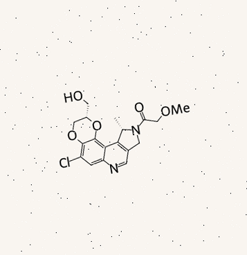 COCC(=O)N1Cc2cnc3cc(Cl)c4c(c3c2[C@@H]1C)O[C@@H](CO)CO4